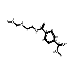 C=C(OCCOCOC)c1ccc(C(=O)OC)cc1